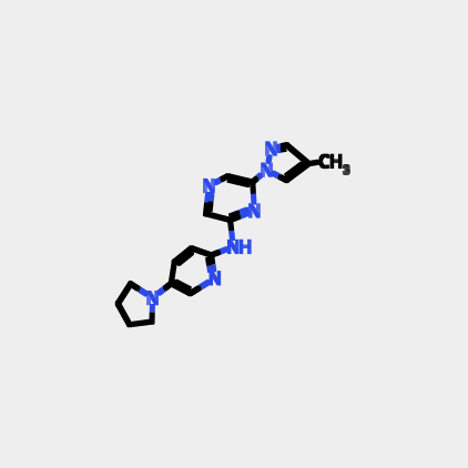 Cc1cnn(-c2cncc(Nc3ccc(N4CCCC4)cn3)n2)c1